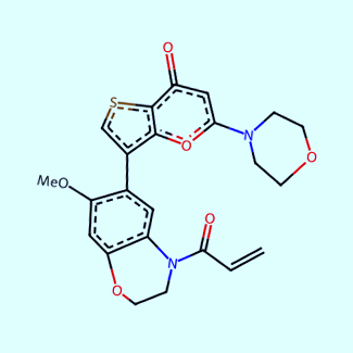 C=CC(=O)N1CCOc2cc(OC)c(-c3csc4c(=O)cc(N5CCOCC5)oc34)cc21